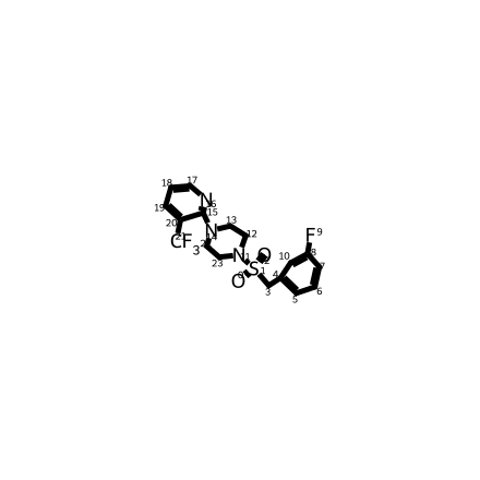 O=S(=O)(Cc1cccc(F)c1)N1CCN(c2ncccc2C(F)(F)F)CC1